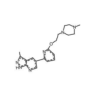 Cc1n[nH]c2ncc(-c3cccc(OCCN4CCN(C)CC4)n3)cc12